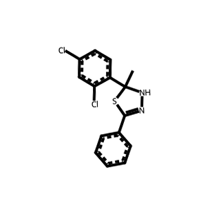 CC1(c2ccc(Cl)cc2Cl)NN=C(c2ccccc2)S1